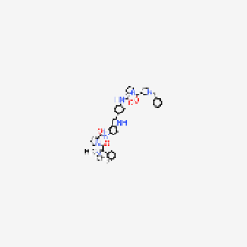 CN(C)[C@@H](C(=O)N1CCC[C@H]1C(=O)Nc1ccc2[nH]c(-c3ccc(NC(=O)[C@@H]4CCCN4C(=O)[C@H]4CCN(Cc5ccccc5)C4)cc3)cc2c1)c1ccccc1